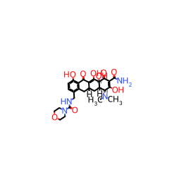 CN(C)[C@H]1C(O)=C(C(N)=O)C(=O)[C@@]2(O)C(O)=C3C(=O)c4c(O)ccc(CNC(=O)N5CCOCC5)c4C[C@H]3C[C@@H]12